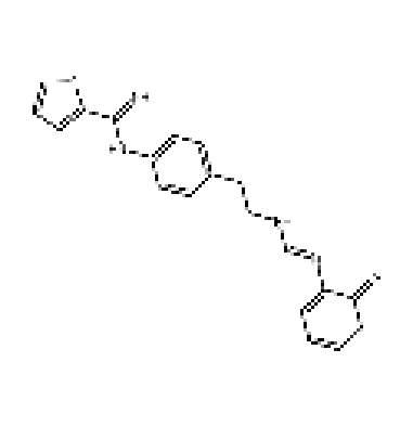 N=C(Nc1ccc(CCNC=NC2=CC=CCC2=S)cc1)c1cccs1